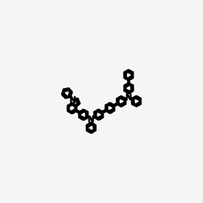 C1=CN(c2ccccc2)C2CCC=C(c3ccc(N(c4ccccc4)c4ccc(-c5ccc(-c6ccc(N(c7ccccc7)c7ccc(-c8ccccc8)cc7)cc6)cc5)cc4)cc3)C12